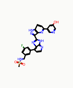 CS(=O)(=O)NCc1cc(F)cc(-c2ccnc3[nH]c(-c4n[nH]c5ccc(-c6cncc(O)c6)nc45)nc23)c1